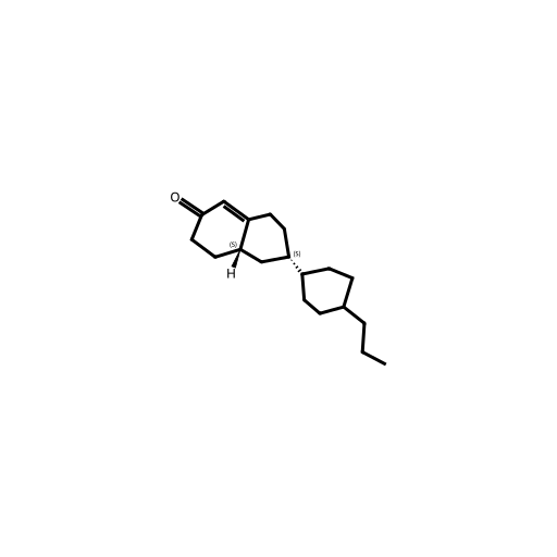 CCCC1CCC([C@H]2CCC3=CC(=O)CC[C@H]3C2)CC1